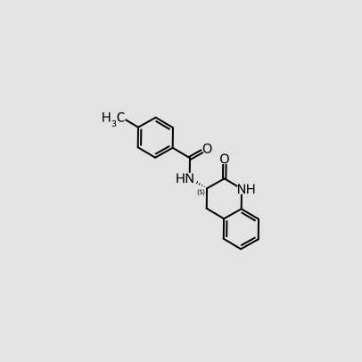 Cc1ccc(C(=O)N[C@H]2Cc3ccccc3NC2=O)cc1